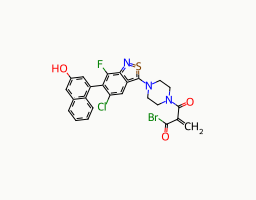 C=C(C(=O)Br)C(=O)N1CCN(c2snc3c(F)c(-c4cc(O)cc5ccccc45)c(Cl)cc23)CC1